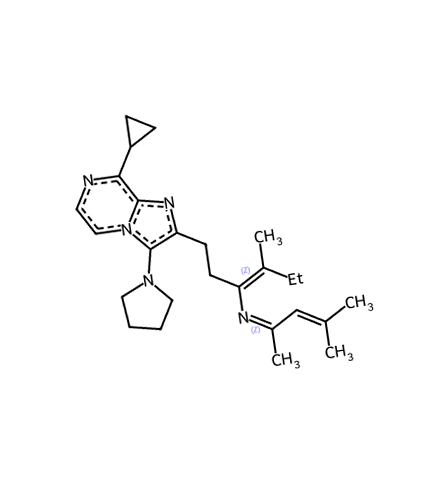 CC/C(C)=C(CCc1nc2c(C3CC3)nccn2c1N1CCCC1)\N=C(\C)C=C(C)C